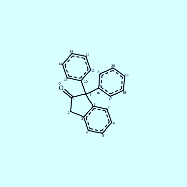 O=C1Cc2ccccc2C1(c1ccccc1)c1ccccc1